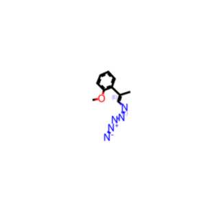 COc1ccccc1/C(C)=C/N=N\N=[N+]=[N-]